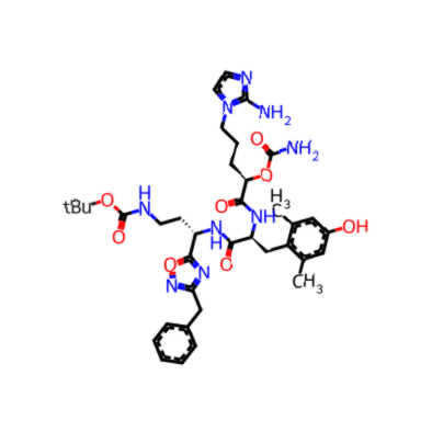 Cc1cc(O)cc(C)c1C[C@H](NC(=O)[C@@H](CCCn1ccnc1N)OC(N)=O)C(=O)N[C@@H](CCNC(=O)OC(C)(C)C)c1nc(Cc2ccccc2)no1